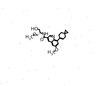 COC[C@H](CO)NC(=O)c1cnc2c(C3=CCC4(CC3)CC4)cc(OC)cc2c1